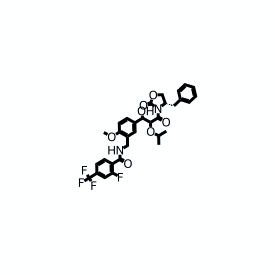 COc1ccc(C(O)C(OC(C)C)C(=O)N2C(=O)OC[C@@H]2Cc2ccccc2)cc1CNC(=O)c1ccc(C(F)(F)F)cc1F